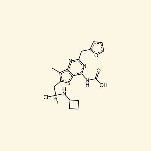 Cc1c(C[C@](C)(Cl)NC2CCC2)sc2c(NC(=O)O)nc(Cc3ccco3)nc12